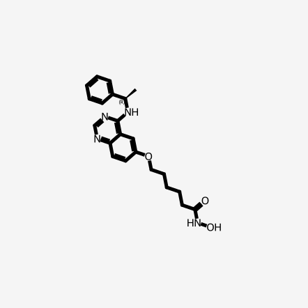 C[C@@H](Nc1ncnc2ccc(OCCCCCC(=O)NO)cc12)c1ccccc1